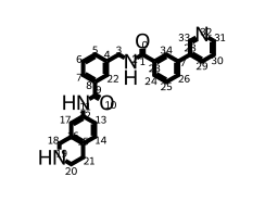 O=C(NCc1cccc(C(=O)Nc2ccc3c(c2)CNCC3)c1)c1cccc(-c2cccnc2)c1